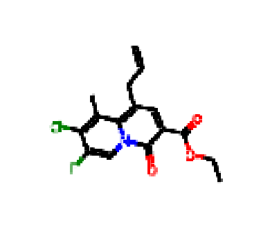 C=CCc1cc(C(=O)OCC)c(=O)n2cc(F)c(Cl)c(C)c12